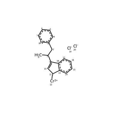 CC(Cc1ccccn1)C1=C[CH]([Cr+2])c2ccccc21.[Cl-].[Cl-]